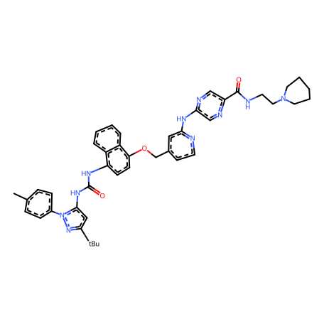 Cc1ccc(-n2nc(C(C)(C)C)cc2NC(=O)Nc2ccc(OCc3ccnc(Nc4cnc(C(=O)NCCN5CCCCC5)cn4)c3)c3ccccc23)cc1